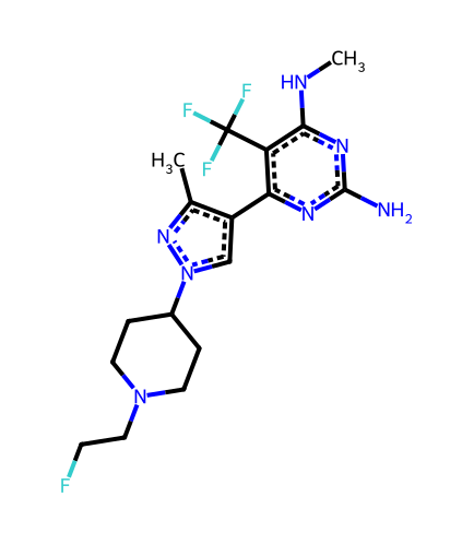 CNc1nc(N)nc(-c2cn(C3CCN(CCF)CC3)nc2C)c1C(F)(F)F